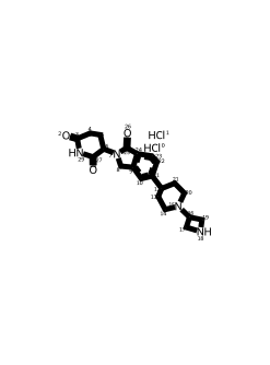 Cl.Cl.O=C1CCC(N2Cc3cc(C4CCN(C5CNC5)CC4)ccc3C2=O)C(=O)N1